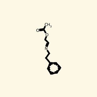 CC(=O)OCC=NCCc1ccccc1